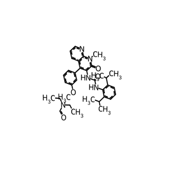 CCN(C=O)CC.COc1cccc(-c2c(NC(=O)Nc3c(C(C)C)cccc3C(C)C)c(=O)n(C)c3ncccc23)c1